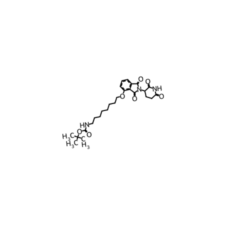 CC(C)(C)OC(=O)NCCCCCCCCOc1cccc2c1C(=O)N(C1CCC(=O)NC1=O)C2=O